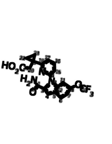 NC(=O)c1cc2ccc(OC(F)(F)F)cc2n1-c1cccc(C2(CC(=O)O)CC2)n1